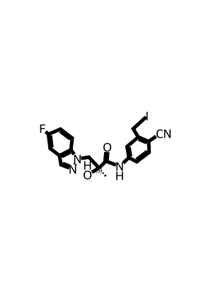 C[C@](O)(Cn1ncc2cc(F)ccc21)C(=O)Nc1ccc(C#N)c(CI)c1